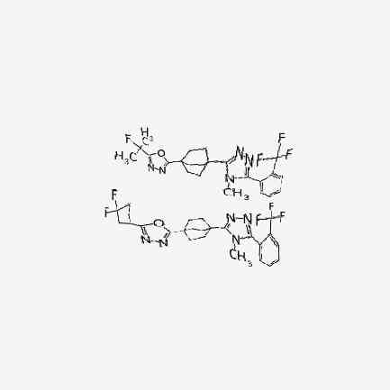 Cn1c(-c2ccccc2C(F)(F)F)nnc1C12CCC(c3nnc(C(C)(C)F)o3)(CC1)CC2.Cn1c(-c2ccccc2C(F)(F)F)nnc1C12CCC(c3nnc(C4CC(F)(F)C4)o3)(CC1)CC2